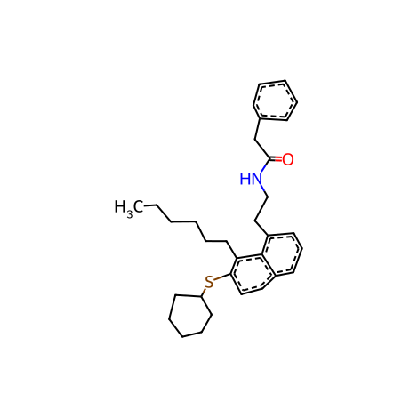 CCCCCCc1c(SC2CCCCC2)ccc2cccc(CCNC(=O)Cc3ccccc3)c12